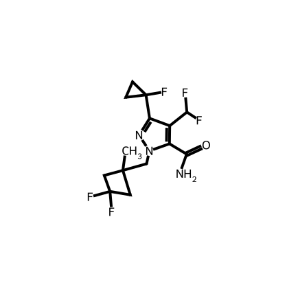 CC1(Cn2nc(C3(F)CC3)c(C(F)F)c2C(N)=O)CC(F)(F)C1